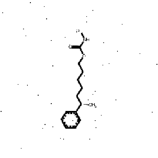 CC(C)NC(=O)OCCCCC[C@H](C)c1ccccc1